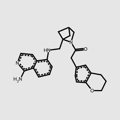 Nc1nccc2c(NCC34CC(CN3C(=O)Cc3ccc5c(c3)CCCO5)C4)cccc12